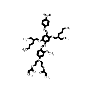 C=CC(=O)OCCN(CCOC(=O)C=C)c1ccc(/N=N/c2cc(OCC(CC)CCCC)c(/N=N/c3ccc([N+](=O)[O-])cc3)cc2OCC(CC)CCCC)c(OC)c1